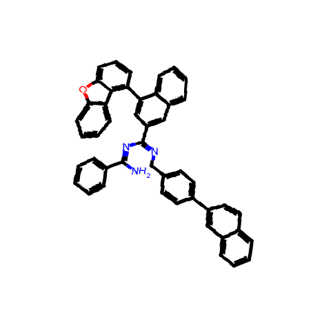 N/C(=N\C(=N/Cc1ccc(-c2ccc3ccccc3c2)cc1)c1cc(-c2cccc3oc4ccccc4c23)c2ccccc2c1)c1ccccc1